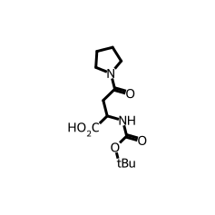 CC(C)(C)OC(=O)NC(CC(=O)N1CCCC1)C(=O)O